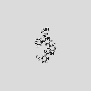 Cc1ncc(NC(=O)c2cc(CF)ccn2)cc1-c1cnc(OCCO)c(N2CCOCC2)c1